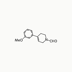 COc1cccc(C2=CCN(C=O)CC2)c1